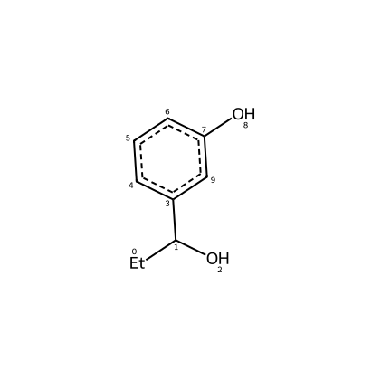 [CH2]CC(O)c1cccc(O)c1